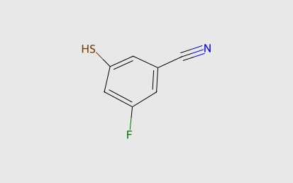 N#Cc1cc(F)cc(S)c1